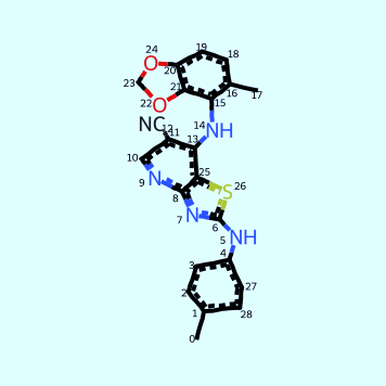 Cc1ccc(Nc2nc3ncc(C#N)c(Nc4c(C)ccc5c4OCO5)c3s2)cc1